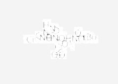 CC(C)(CNC(=O)OC(C)(C)C)COc1cc(S(C)(=O)=O)ccc1C(=O)Nc1cccnc1C(=O)Nc1ccc(Cl)cn1